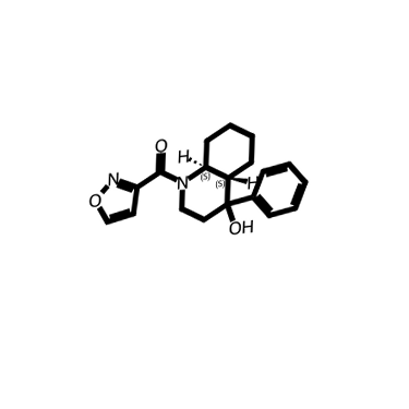 O=C(c1ccon1)N1CCC(O)(c2ccccc2)[C@H]2CCCC[C@@H]21